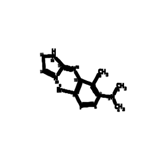 Cc1c(N(C)C)ccc(Br)c1N=C1N=CCN1